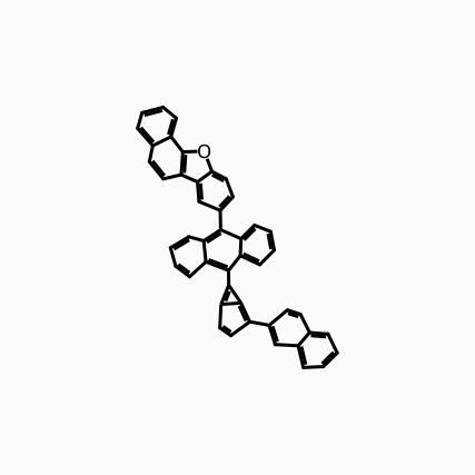 c1ccc2cc(-c3ccc4c(-c5c6ccccc6c(-c6ccc7oc8c9ccccc9ccc8c7c6)c6ccccc56)c3-4)ccc2c1